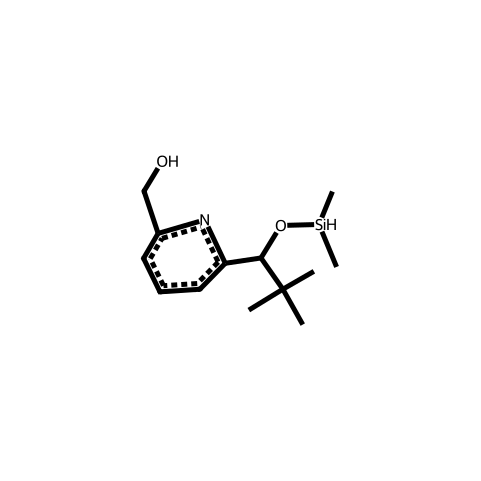 C[SiH](C)OC(c1cccc(CO)n1)C(C)(C)C